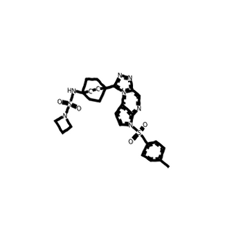 Cc1ccc(S(=O)(=O)n2ccc3c2ncc2nnc(C45CCC(NS(=O)(=O)N6CCC6)(CC4)CC5)n23)cc1